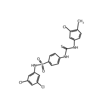 Cc1ccc(NC(=S)Nc2ccc(S(=O)(=O)Nc3cc(Cl)cc(Cl)c3)cc2)cc1Cl